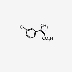 C/C(=C/C(=O)O)c1cccc(Cl)c1